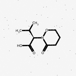 CC(C)[C@H](C(=O)O)N1OCCCC1=O